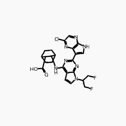 O=C(O)C1C2CCC(CC2)C1Nc1nc(-c2c[nH]c3ncc(Cl)nc23)nc2c1ccn2C(CF)CF